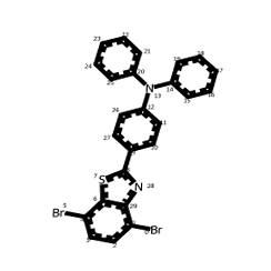 Brc1ccc(Br)c2sc(-c3ccc(N(c4ccccc4)c4ccccc4)cc3)nc12